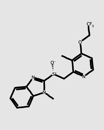 Cc1c(OCC(F)(F)F)ccnc1C[S@@+]([O-])c1nc2ccccc2n1C